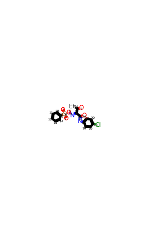 CCC(=O)/C(=N\OS(=O)(=O)c1ccccc1)c1nc2ccc(Cl)cc2o1